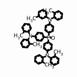 Cc1cccc(N(c2ccc(P(=O)(c3ccc(N(c4ccccc4C)c4ccccc4C)cc3)c3ccc(N(c4ccccc4C)c4ccccc4C)cc3)cc2)c2ccccc2C)c1